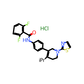 CC(C)C1=C(c2ccc(NC(=O)c3c(F)cccc3F)cc2)CN(c2nccs2)CC1.Cl